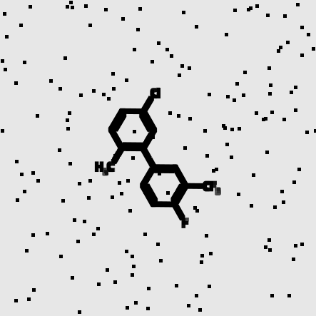 Cc1ccc(Cl)cc1-c1ccc(F)c(C(F)(F)F)c1